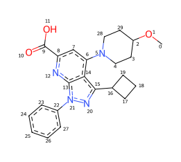 COC1CCN(c2cc(C(=O)O)nc3c2c(C2CCC2)nn3-c2ccccc2)CC1